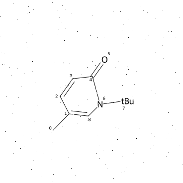 Cc1ccc(=O)n(C(C)(C)C)c1